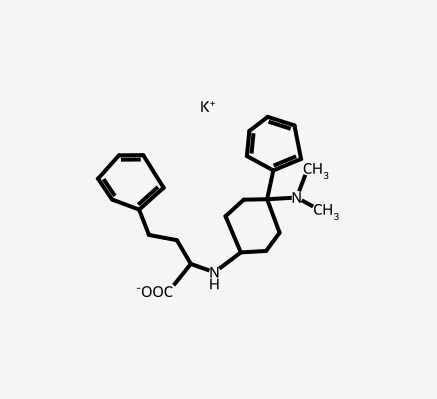 CN(C)C1(c2ccccc2)CCC(NC(CCc2ccccc2)C(=O)[O-])CC1.[K+]